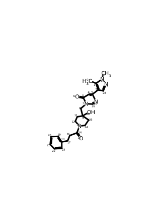 Cc1c(-c2cc(=O)n(CC3(O)CCN(C(=O)CCc4ccccc4)CC3)cn2)cnn1C